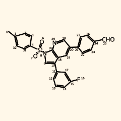 Cc1ccc(S(=O)(=O)n2cc(-c3cccc(F)c3)c3cc(-c4ccc(C=O)cc4)cnc32)cc1